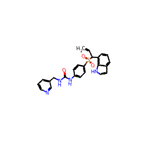 C=CC(c1cccc2cc[nH]c12)S(=O)(=O)c1ccc(NC(=O)NCc2cccnc2)cc1